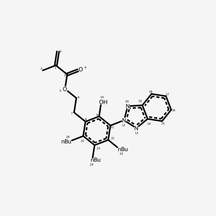 C=C(C)C(=O)OCCc1c(O)c(-n2nc3ccccc3n2)c(CCCC)c(CCCC)c1CCCC